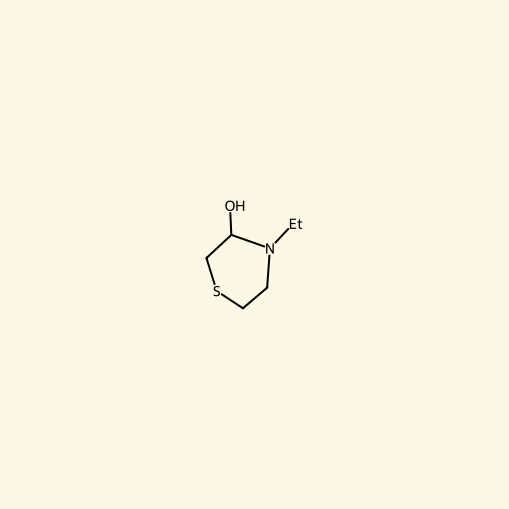 CCN1CCSCC1O